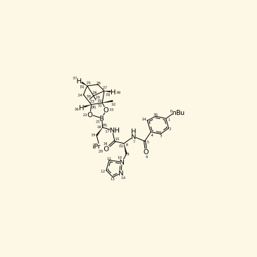 CCCCc1ccc(C(=O)N[C@@H](Cn2cccn2)C(=O)N[C@@H](CC(C)C)B2O[C@@H]3C[C@@H]4C[C@@H](C4(C)C)[C@]3(C)O2)cc1